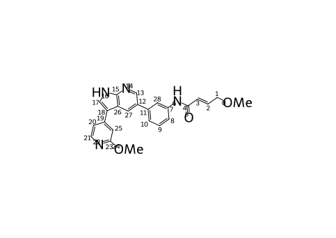 COC/C=C/C(=O)Nc1cccc(-c2cnc3[nH]cc(-c4ccnc(OC)c4)c3c2)c1